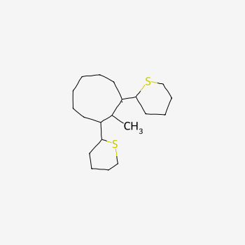 CC1[C](C2CCCCS2)CCCCCCC1C1CCCCS1